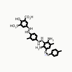 Cc1ccc(/N=N\c2cc(C)c(N)c(NNc3ccc(NNc4cc(C(=O)O)c(O)c(S(=O)(=O)O)c4)c(C)c3)c2N)cc1